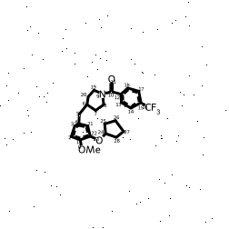 COc1ccc(CC2CCN(C(=O)c3ccc(C(F)(F)F)cc3)CC2)cc1OC1CCCC1